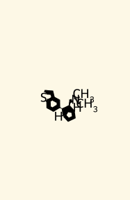 CN(C)C[C@H]1[C@H]2CC[C@H](C2)[C@@H]1c1ccc2sccc2c1